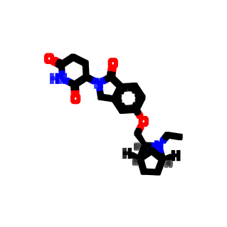 CCN1[C@@H]2CC[C@@H](C2)[C@H]1COc1ccc2c(c1)CN(C1CCC(=O)NC1=O)C2=O